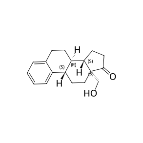 O=C1CC[C@H]2[C@@H]3CCc4ccccc4[C@H]3CC[C@]12CO